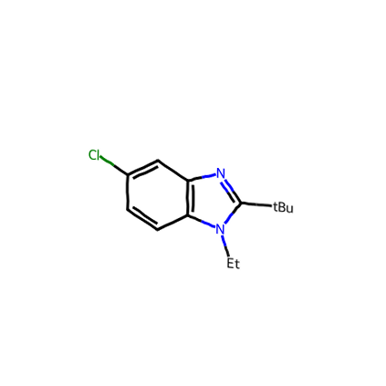 CCn1c(C(C)(C)C)nc2cc(Cl)ccc21